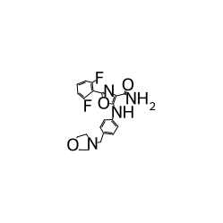 NC(=O)c1nc(-c2c(F)cccc2F)oc1Nc1ccc(CN2CCOCC2)cc1